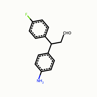 Nc1ccc(C(CC=O)c2ccc(F)cc2)cc1